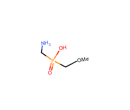 COCP(=O)(O)CN